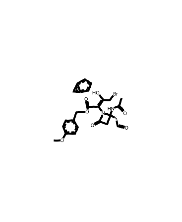 COc1ccc(COC(=O)C(=C(O)CBr)N2C(=O)CC2(NC(C)=O)SC=O)cc1.c1cc2cc-2c1